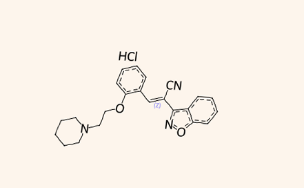 Cl.N#C/C(=C\c1ccccc1OCCN1CCCCC1)c1noc2ccccc12